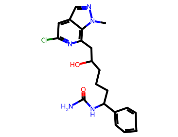 Cn1ncc2cc(Cl)nc(CC(O)CCCC(NC(N)=O)c3ccccc3)c21